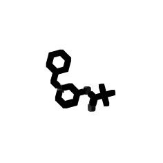 CC(C)(C)C(=O)OC1C=CCN(CC2CCCCC2)C1